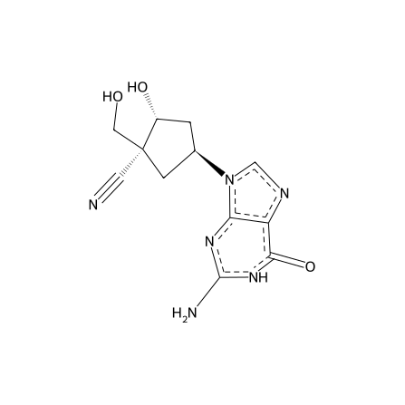 N#C[C@@]1(CO)C[C@H](n2cnc3c(=O)[nH]c(N)nc32)C[C@H]1O